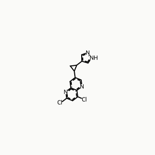 Clc1cc(Cl)c2ncc(C3CC3c3cn[nH]c3)cc2n1